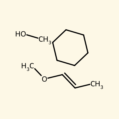 C1CCCCC1.CC=COC.CO